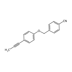 CC#Cc1ccc(OCc2ccc(C#N)cc2)cc1